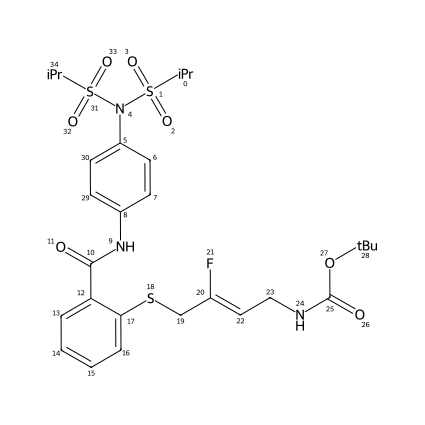 CC(C)S(=O)(=O)N(c1ccc(NC(=O)c2ccccc2SCC(F)=CCNC(=O)OC(C)(C)C)cc1)S(=O)(=O)C(C)C